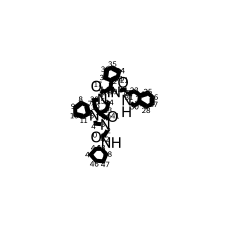 O=C(CN1CN(c2ccccc2)C2(CCN(C(=O)[C@@H](NC(=O)[C@H]3Cc4ccccc4CN3)c3ccccc3)CC2)C1=O)NC1CCCCC1